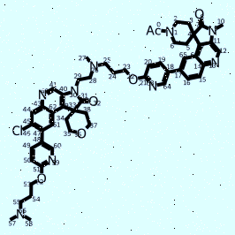 CC(=O)N1CCC2(CC1)C(=O)N(C)c1cnc3ccc(-c4ccc(OCCCN(C)CCN5C(=O)C6(CCOCC6)c6c5cnc5cc(Cl)c(-c7ccc(OCCCN(C)C)nc7)cc65)nc4)cc3c12